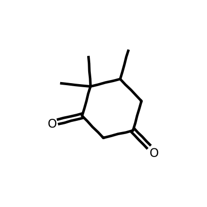 CC1CC(=O)CC(=O)C1(C)C